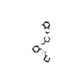 Cc1cccc2sc(N3CCC(COc4ccccc4NS(=O)(=O)c4ccccn4)C3)nc12